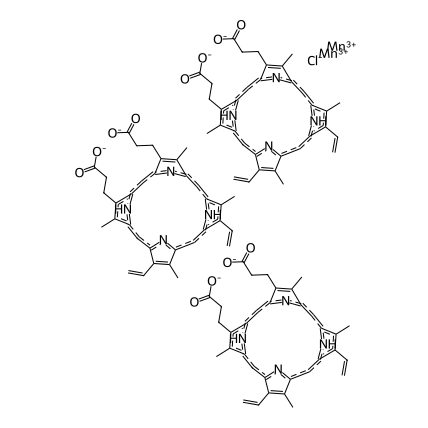 C=CC1=C(C)c2cc3[nH]c(cc4nc(cc5[nH]c(cc1n2)c(C)c5CCC(=O)[O-])C(CCC(=O)[O-])=C4C)c(C)c3C=C.C=CC1=C(C)c2cc3[nH]c(cc4nc(cc5[nH]c(cc1n2)c(C)c5CCC(=O)[O-])C(CCC(=O)[O-])=C4C)c(C)c3C=C.C=CC1=C(C)c2cc3[nH]c(cc4nc(cc5[nH]c(cc1n2)c(C)c5CCC(=O)[O-])C(CCC(=O)[O-])=C4C)c(C)c3C=C.[Cl-].[Mn+3].[Mn+3]